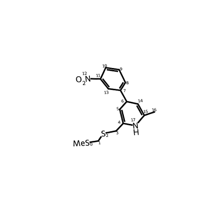 CSCSCC1=CC(c2cccc([N+](=O)[O-])c2)C=C(C)N1